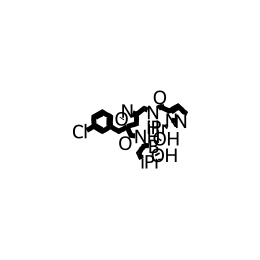 CC(C)CC(NC(=O)C1(Cc2cccc(Cl)c2)CC(CNC(=O)c2ccnn2C(C)C)=NO1)B(O)O